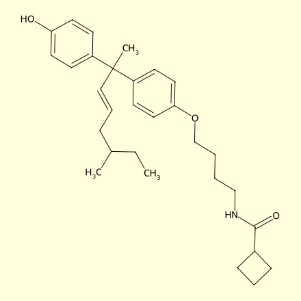 CCC(C)C/C=C/C(C)(c1ccc(O)cc1)c1ccc(OCCCCNC(=O)C2CCC2)cc1